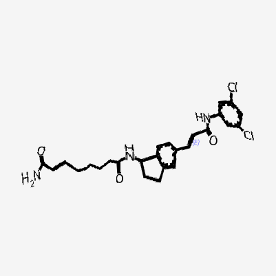 NC(=O)CCCCCCC(=O)NC1CCc2cc(/C=C/C(=O)Nc3cc(Cl)cc(Cl)c3)ccc21